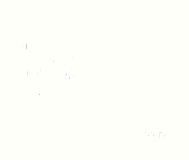 CCOC(=O)c1ccc(-c2ccc(-c3onc(C)c3NC(=O)OC(C)c3ccccc3Cl)cc2)cc1